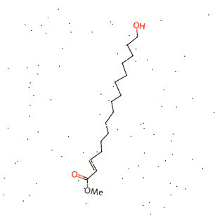 COC(=O)C=CCCCCCCCCCCCCCO